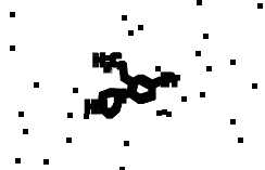 C=CCc1cc(C(C)C)ccc1N1CCNCC1